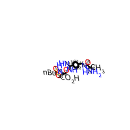 CCCCS(=O)(=O)N[C@H](CONC(=N)c1ccc(CNC(=O)[C@H](C)N)cc1)C(=O)O